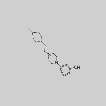 CC1CCC(CCN2CCN(c3cccc(C#N)c3)CC2)CC1